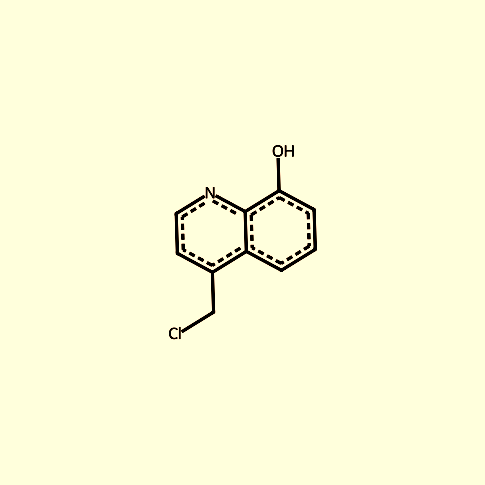 Oc1cccc2c(CCl)ccnc12